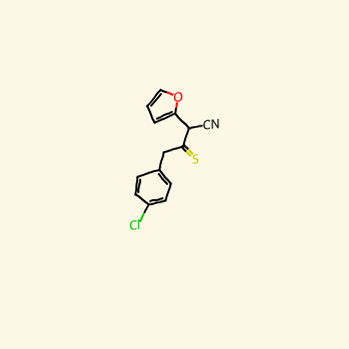 N#CC(C(=S)Cc1ccc(Cl)cc1)c1ccco1